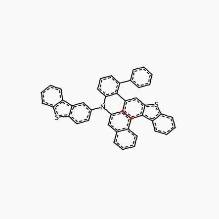 c1ccc(-c2cccc(N(c3ccc4ccccc4c3)c3ccc4sc5ccccc5c4c3)c2-c2ccc3c(c2)sc2ccccc23)cc1